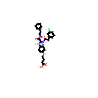 O=C(O)CCCOc1ccc(NC(NC(=O)Cc2cccc(Cl)c2)C(=O)NCCc2ccccc2)cc1